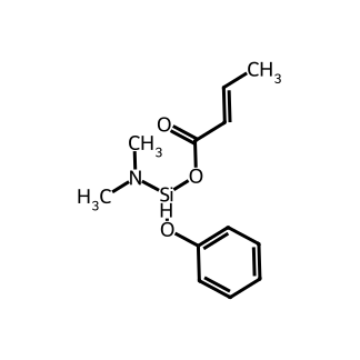 CC=CC(=O)O[SiH](Oc1ccccc1)N(C)C